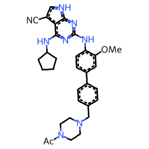 COc1cc(-c2ccc(CN3CCN(C(C)=O)CC3)cc2)ccc1Nc1nc(NC2CCCC2)c2c(C#N)c[nH]c2n1